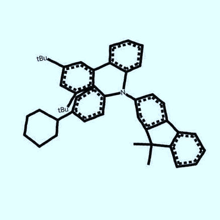 CC(C)(C)c1cc(-c2ccccc2N(c2ccc(C3CCCCC3)cc2)c2ccc3c(c2)C(C)(C)c2ccccc2-3)cc(C(C)(C)C)c1